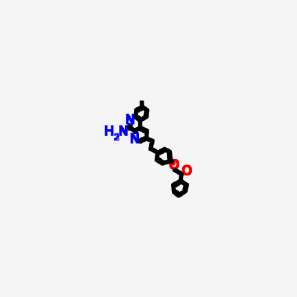 Cc1ccc2c(c1)nc(N)c1ncc(CCc3ccc(OCC(=O)c4ccccc4)cc3)cc12